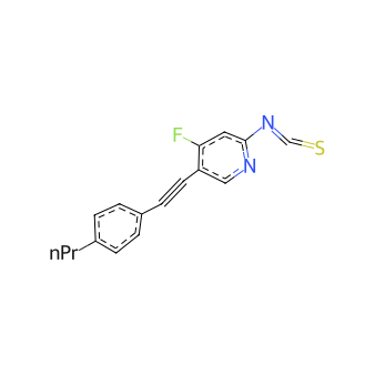 CCCc1ccc(C#Cc2cnc(N=C=S)cc2F)cc1